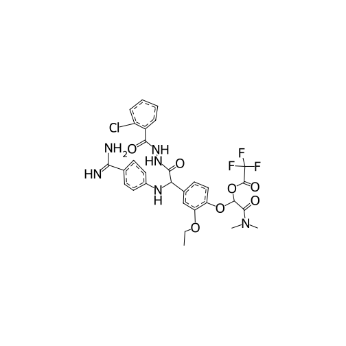 CCOc1cc(C(Nc2ccc(C(=N)N)cc2)C(=O)NNC(=O)c2ccccc2Cl)ccc1OC(OC(=O)C(F)(F)F)C(=O)N(C)C